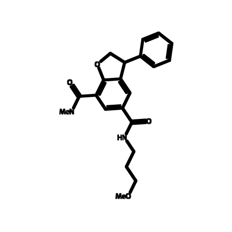 CNC(=O)c1cc(C(=O)NCCCOC)cc2c1OCC2c1ccccc1